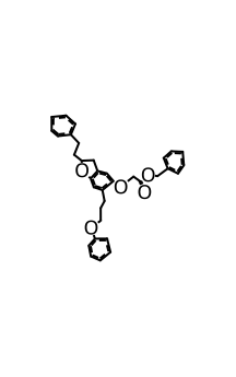 O=C(COc1cc2c(cc1CCCOc1ccccc1)OC(CCc1ccccc1)C2)OCc1ccccc1